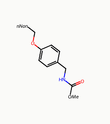 CCCCCCCCCCOc1ccc(CNC(=O)OC)cc1